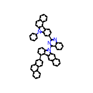 c1ccc(-n2c3cc(-c4nc(-n5c6cc7ccccc7cc6c6c(-c7ccc8c(ccc9ccccc98)c7)cccc65)c5ccccc5n4)ccc3c3c4ccccc4ccc32)cc1